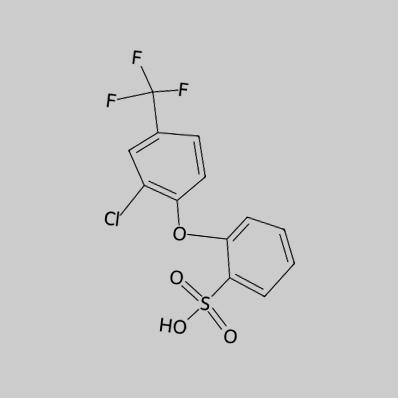 O=S(=O)(O)c1ccccc1Oc1ccc(C(F)(F)F)cc1Cl